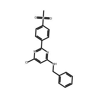 CS(=O)(=O)c1ccc(-c2nc(Cl)cc(NCc3ccccc3)n2)cc1